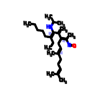 C=C(/C(NC(C)C)=C(\CC)CCCCC)/C(C/C=C(\C)CCC=C(C)C)=C(\C)N=O